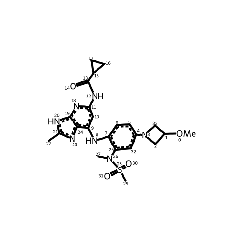 COC1CN(c2ccc(Nc3cc(NC(=O)C4CC4)nc4[nH]c(C)nc34)c(N(C)S(C)(=O)=O)c2)C1